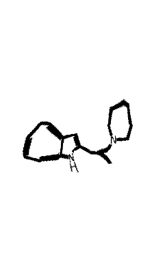 C[C](c1cc2ccccc2[nH]1)N1CCCCC1